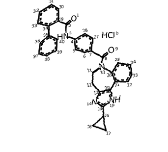 Cl.O=C(Nc1ccc(C(=O)N2CCc3nc(C4CC4)[nH]c3-c3ccccc32)cc1)c1ccccc1-c1ccccc1